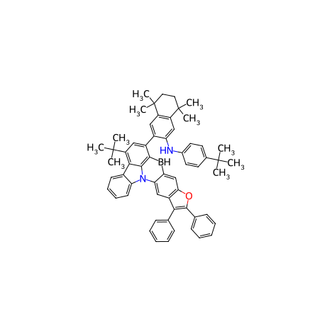 CC(C)(C)c1ccc(Nc2cc3c(cc2-c2cc(C(C)(C)C)c4c5ccccc5n5c4c2Bc2cc4oc(-c6ccccc6)c(-c6ccccc6)c4cc2-5)C(C)(C)CCC3(C)C)cc1